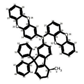 C[C@H]1CC=CC2=C1c1ccc(N(c3ccc4c(c3)Oc3ccccc3O4)c3cccc4c3Oc3ccccc3O4)cc1C2(c1ccccc1)c1ccccc1